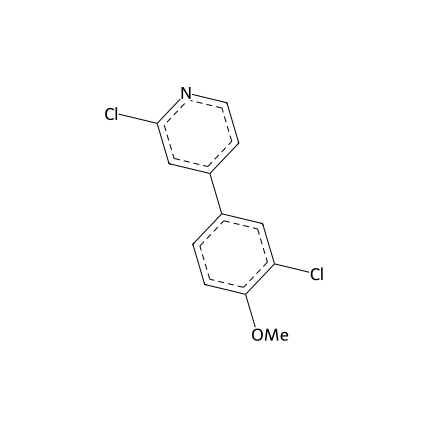 COc1ccc(-c2ccnc(Cl)c2)cc1Cl